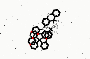 CC(C)(C)c1ccc2c(c1)C1=C(CCC=C1)C2(c1ccccc1)c1ccccc1C1=C=C=CC(N(c2cccc(-c3ccccc3)c2)c2ccc3c(c2)C(C)(C)c2ccccc2O3)=C1